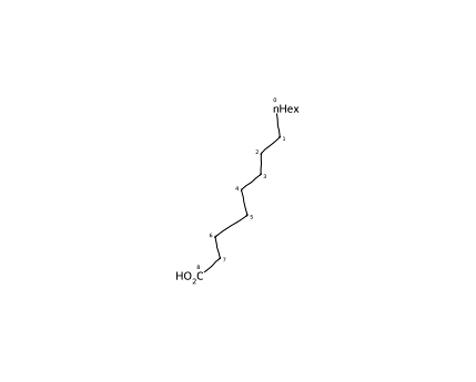 CCCCCCCCCCCCC[13C](=O)O